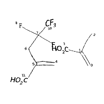 C=C(C)C(=O)O.C=C(CC(F)(F)C(F)(F)F)C(=O)O